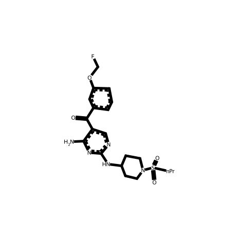 CCCS(=O)(=O)N1CCC(Nc2ncc(C(=O)c3cccc(OCF)c3)c(N)n2)CC1